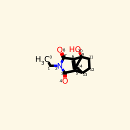 CCN1C(=O)C2=C(C1=O)C1(O)CCC2C1